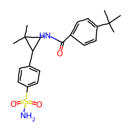 CC(C)(C)c1ccc(C(=O)NC2C(c3ccc(S(N)(=O)=O)cc3)C2(C)C)cc1